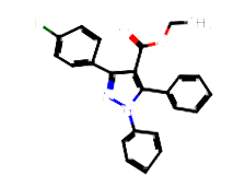 CCOC(=O)c1c(-c2ccc(F)cc2)nn(-c2ccccc2)c1-c1ccccc1